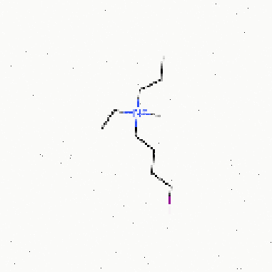 CCC[N+](C)(CC)CCCCI